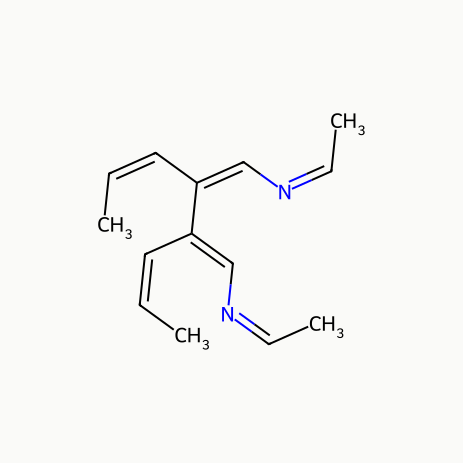 C\C=C/C(=C/N=C\C)C(/C=C\C)=C/N=C\C